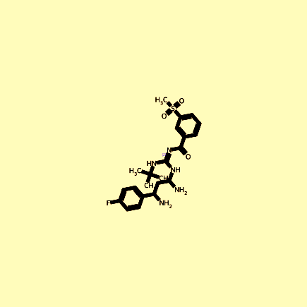 CC(C)(C)N/C(=N/C(=O)c1cccc(S(C)(=O)=O)c1)NC(N)CC(N)c1ccc(F)cc1